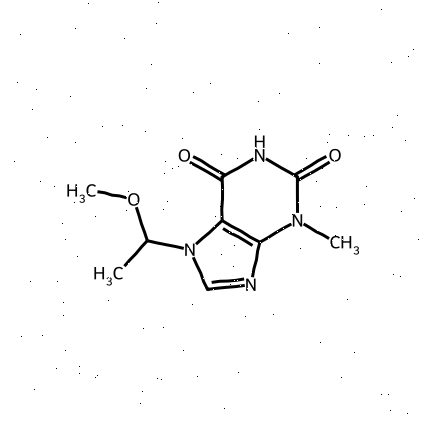 COC(C)n1cnc2c1c(=O)[nH]c(=O)n2C